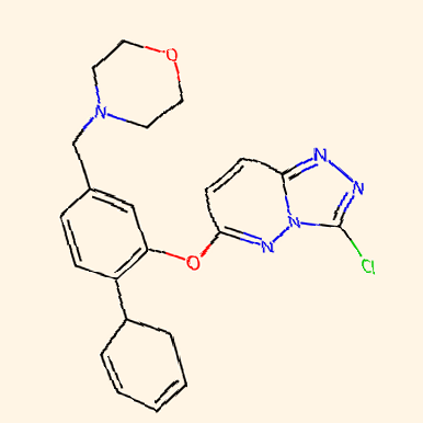 Clc1nnc2ccc(Oc3cc(CN4CCOCC4)ccc3C3C=CC=CC3)nn12